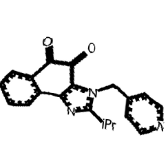 CC(C)c1nc2c(n1Cc1ccncc1)C(=O)C(=O)c1ccccc1-2